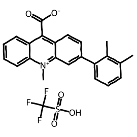 Cc1cccc(-c2ccc3c(C(=O)[O-])c4ccccc4[n+](C)c3c2)c1C.O=S(=O)(O)C(F)(F)F